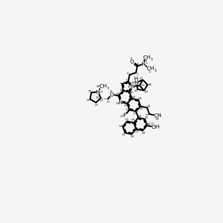 CN(C)C(=O)CCc1cc2c(OC[C@@H]3CCCN3C)nc3c(F)c(-c4cc(O)cc5ccccc45)c(CCC#N)cc3c2n1C1C2CNC1C2